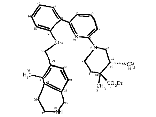 CCOC(=O)[C@@]1(C)CCN(c2cccc(-c3ccccc3OCc3ccc4c(c3C)CCNC4)n2)C[C@@H]1C